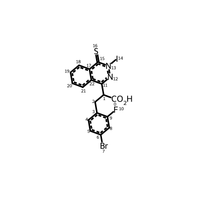 O=C(O)C(Cc1ccc(Br)cc1F)c1nn(I)c(=S)c2ccccc12